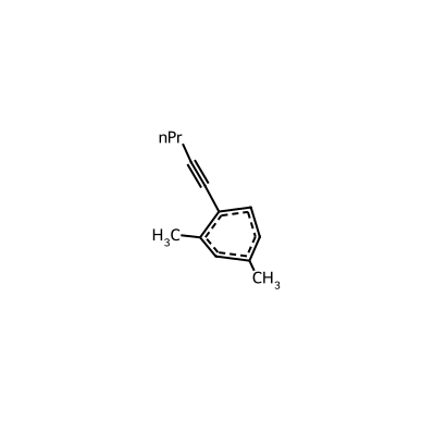 [CH2]CCC#Cc1ccc(C)cc1C